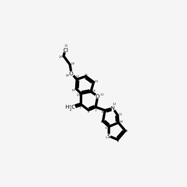 C=C1C=C(c2cc3sccc3cn2)Oc2ccc(OCCCl)cc21